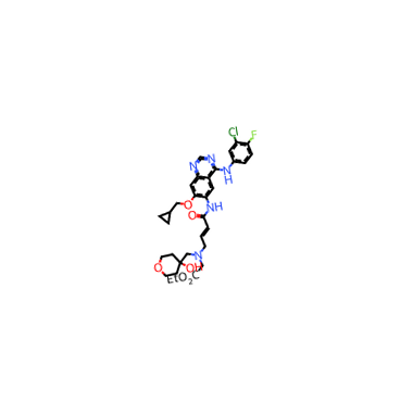 CCOC(=O)CN(CC=CC(=O)Nc1cc2c(Nc3ccc(F)c(Cl)c3)ncnc2cc1OCC1CC1)CC1(O)CCOCC1